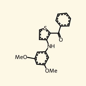 COc1cc(Nc2ccsc2C(=O)c2ccccc2)cc(OC)c1